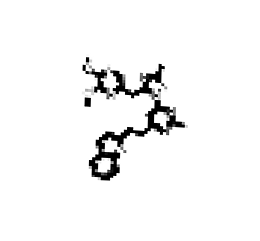 COc1ncc(Cc2nc(C)nn2-c2cc(CCc3ccc4ccccc4n3)nc(C)n2)nc1OC